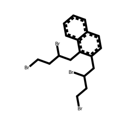 BrCCC(Br)Cc1ccc2ccccc2c1CC(Br)CCBr